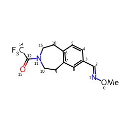 CON=Cc1ccc2c(c1)CCN(C(=O)C(F)(F)F)CC2